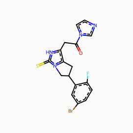 O=C(Cc1[nH]c(=S)n2c1CC(c1cc(Br)ccc1F)C2)n1ccnc1